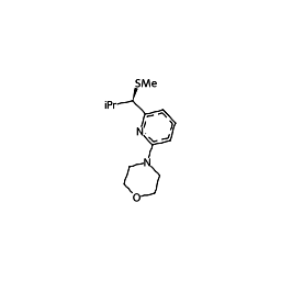 CS[C@@H](c1cccc(N2CCOCC2)n1)C(C)C